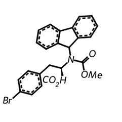 COC(=O)N(C1c2ccccc2-c2ccccc21)[C@H](Cc1ccc(Br)cc1)C(=O)O